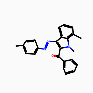 Cc1ccc(/N=N/c2c(C(=O)c3ccccc3)n(C)c3c(C)cccc23)cc1